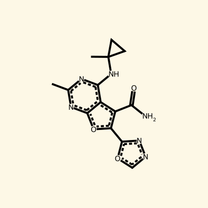 Cc1nc(NC2(C)CC2)c2c(C(N)=O)c(-c3nnco3)oc2n1